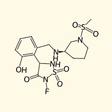 CS(=O)(=O)N1CCC[C@@H](NCc2cccc(O)c2C2NS(=O)(=O)N(F)C2=O)C1